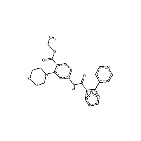 CCOC(=O)c1ccc(NC(=O)c2c(-c3ccncc3)c3ccc2o3)cc1N1CCOCC1